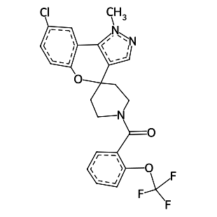 Cn1ncc2c1-c1cc(Cl)ccc1OC21CCN(C(=O)c2ccccc2OC(F)(F)F)CC1